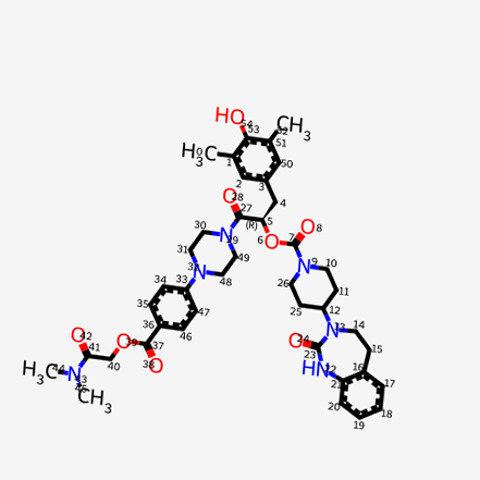 Cc1cc(C[C@@H](OC(=O)N2CCC(N3CCc4ccccc4NC3=O)CC2)C(=O)N2CCN(c3ccc(C(=O)OCC(=O)N(C)C)cc3)CC2)cc(C)c1O